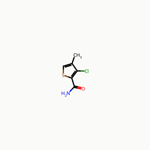 Cc1csc(C(N)=O)c1Cl